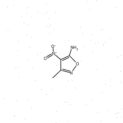 Cc1noc(N)c1[N+](=O)[O-]